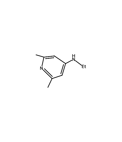 CCNc1cc(C)nc(C)c1